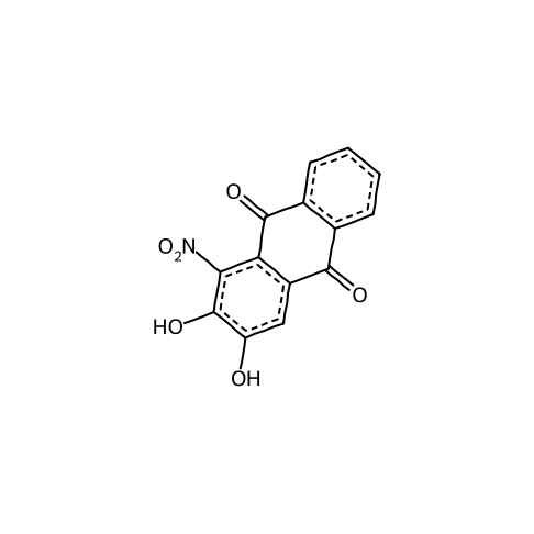 O=C1c2ccccc2C(=O)c2c1cc(O)c(O)c2[N+](=O)[O-]